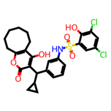 O=c1oc2c(c(O)c1C(c1cccc(NS(=O)(=O)c3cc(Cl)cc(Cl)c3O)c1)C1CC1)CCCCCC2